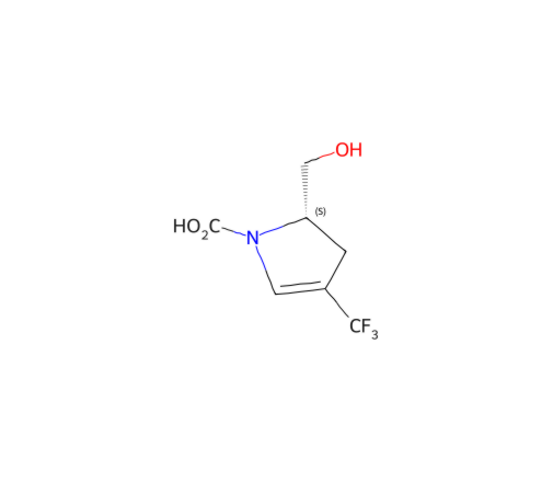 O=C(O)N1C=C(C(F)(F)F)C[C@H]1CO